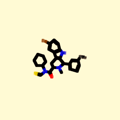 COc1cccc(C2c3[nH]c4ccc(Br)cc4c3CC(C(=O)N(C=S)C3CCCCC3)N2C)c1